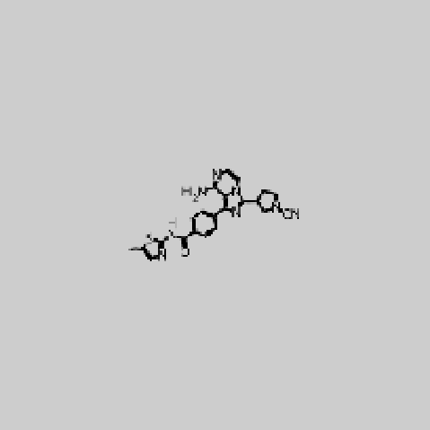 Cc1cnc(NC(=O)c2ccc(-c3nc(C4CCN(C#N)C4)n4ccnc(N)c34)cc2)s1